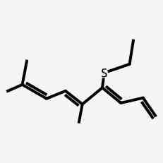 C=C/C=C(SCC)/C(C)=C/C=C(C)C